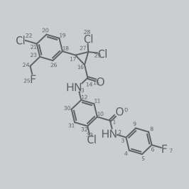 O=C(Nc1ccc(F)cc1)c1cc(NC(=O)C2C(c3ccc(Cl)c(CF)c3)C2(Cl)Cl)ccc1Cl